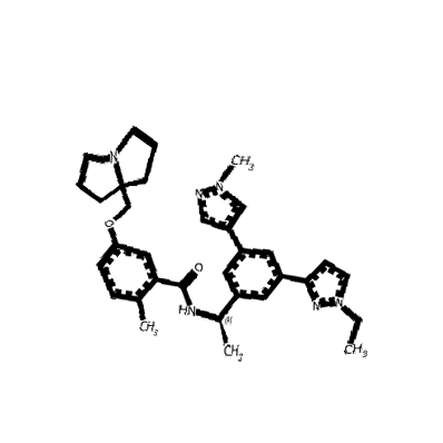 CCn1ccc(-c2cc(-c3cnn(C)c3)cc([C@@H](C)NC(=O)c3cc(OCC45CCCN4CCC5)ccc3C)c2)n1